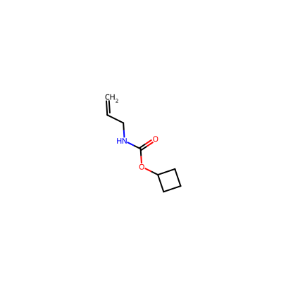 C=CCNC(=O)OC1CCC1